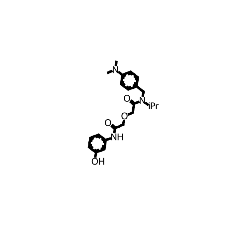 CC(C)N(Cc1ccc(N(C)C)cc1)C(=O)COCC(=O)Nc1cccc(O)c1